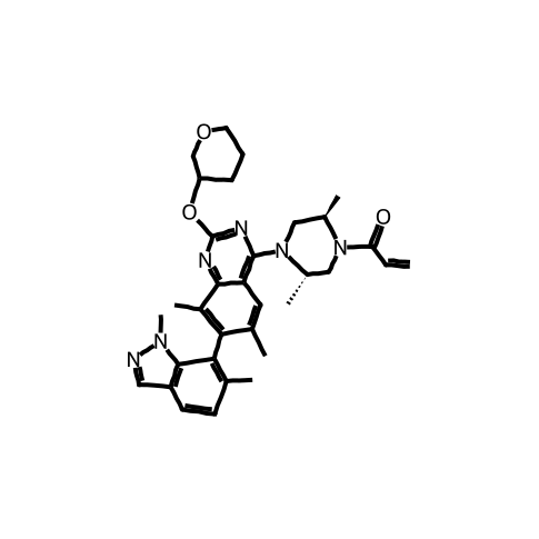 C=CC(=O)N1C[C@H](C)N(c2nc(OC3CCCOC3)nc3c(C)c(-c4c(C)ccc5cnn(C)c45)c(C)cc23)C[C@H]1C